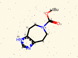 CC(C)(C)OC(=O)N1CCc2nc[nH]c2CC1